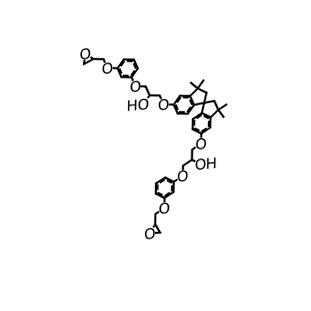 CC1(C)CC2(CC(C)(C)c3cc(OCC(O)COc4cccc(OCC5CO5)c4)ccc32)c2ccc(OCC(O)COc3cccc(OCC4CO4)c3)cc21